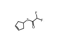 O=C(SC1CC=CC1)C(F)F